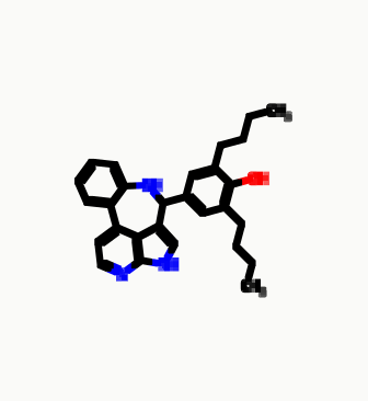 CCCCc1cc(C2Nc3ccccc3-c3ccnc4[nH]cc2c34)cc(CCCC)c1O